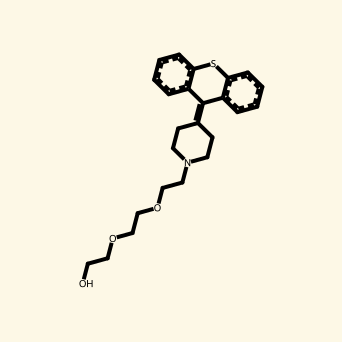 OCCOCCOCCN1CCC(=C2c3ccccc3Sc3ccccc32)CC1